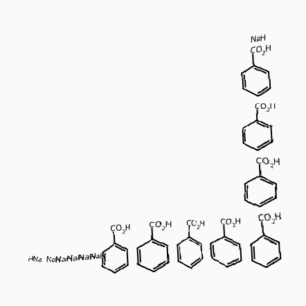 O=C(O)c1ccccc1.O=C(O)c1ccccc1.O=C(O)c1ccccc1.O=C(O)c1ccccc1.O=C(O)c1ccccc1.O=C(O)c1ccccc1.O=C(O)c1ccccc1.O=C(O)c1ccccc1.[NaH].[NaH].[NaH].[NaH].[NaH].[NaH].[NaH]